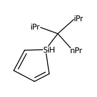 CCCC(C(C)C)(C(C)C)[SiH]1C=CC=C1